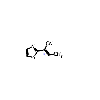 C/C=C(\C#N)c1nccs1